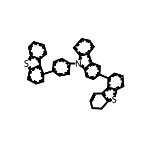 C1=Cc2c(sc3cccc(-c4ccc5c(c4)c4ccccc4n5-c4ccc(-c5cccc6sc7ccccc7c56)cc4)c23)CC1